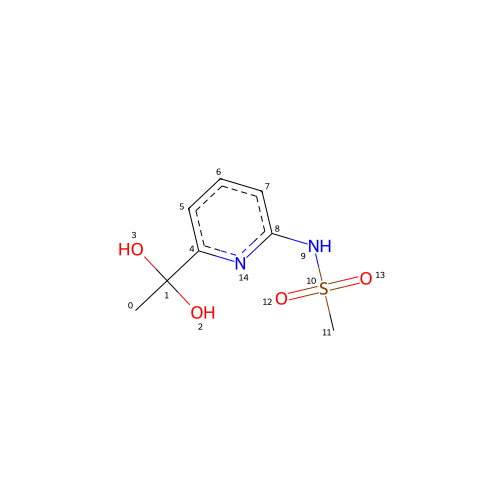 CC(O)(O)c1cccc(NS(C)(=O)=O)n1